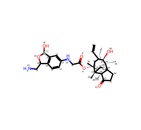 C=C[C@]1(C)C[C@@H](OC(=O)CNc2ccc3c(c2)B(O)OC3CN)[C@]2(C)[C@H](C)CC[C@]3(CCC(=O)[C@H]32)[C@@H](C)[C@@H]1O